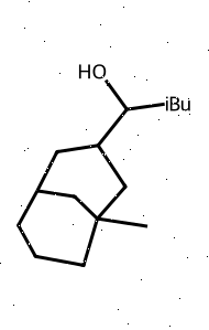 CCC(C)C(O)C1CC2CCCC(C)(C2)C1